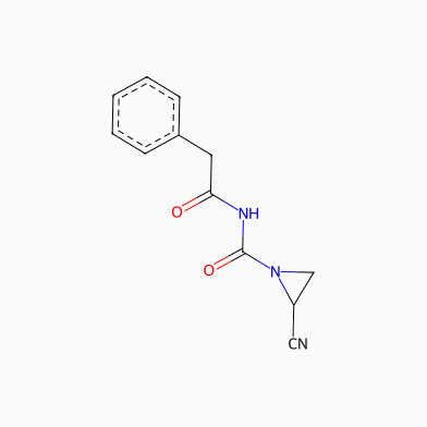 N#CC1CN1C(=O)NC(=O)Cc1ccccc1